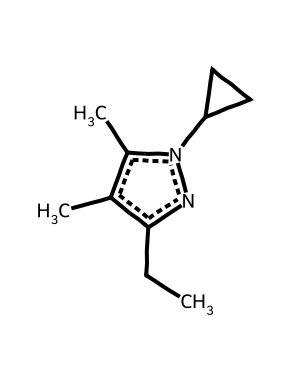 CCc1nn(C2CC2)c(C)c1C